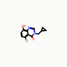 O=c1c2c(Cl)ccc(O)c2ncn1CC1CC1